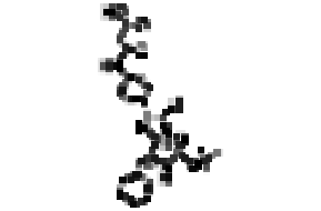 CC(C)(C)OC(=O)N[C@@H](Cc1ccccc1)c1nc(-c2ccc(NC(=O)CC(=O)O)cc2)c(Cl)[nH]1